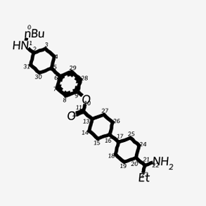 CCCCNC1CCC(c2ccc(OC(=O)C3CCC(C4CCC(C(N)CC)CC4)CC3)cc2)CC1